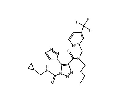 CCCCN(Cc1cc(C(F)(F)F)ccn1)C(=O)c1nnn(C(=O)NCC2CC2)c1-n1ccnn1